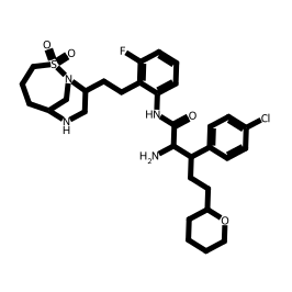 NC(C(=O)Nc1cccc(F)c1CCC1CNC2CCCS(=O)(=O)N1C2)C(CCC1CCCCO1)c1ccc(Cl)cc1